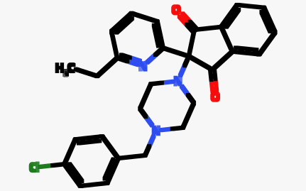 CCc1cccc(C2(N3CCN(Cc4ccc(Cl)cc4)CC3)C(=O)c3ccccc3C2=O)n1